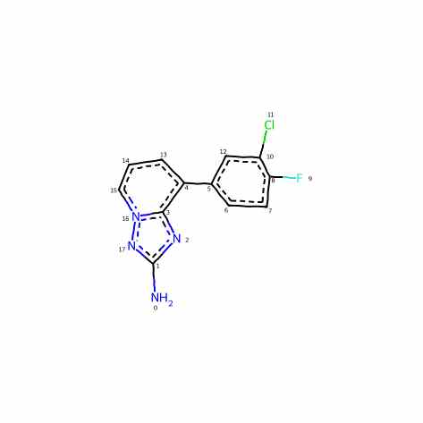 Nc1nc2c(-c3ccc(F)c(Cl)c3)cccn2n1